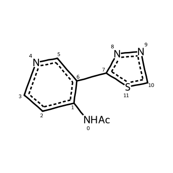 CC(=O)Nc1ccncc1-c1nncs1